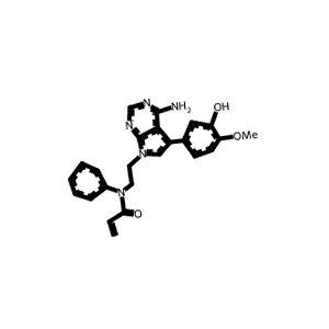 C=CC(=O)N(CCn1cc(-c2ccc(OC)c(O)c2)c2c(N)ncnc21)c1ccccc1